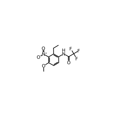 CCc1c(NC(=O)C(F)(F)F)ccc(OC)c1[N+](=O)[O-]